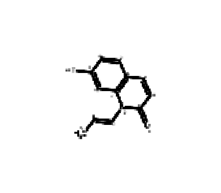 CC=Cn1c(=O)ccc2ccc(F)cc21